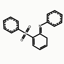 O=S(=O)(C1=CC=CCC1=Nc1ccccc1)c1ccccc1